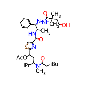 CC[C@H](C)CC(=O)N(C)[C@H](C[C@@H](OC(C)=O)c1nc(C(=O)N[C@H](C)C(=NNC(=O)C(C)(C)CCO)C2=CCCC=C2)cs1)C(C)C